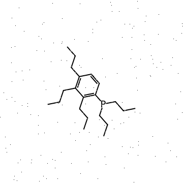 CCCc1ccc(P(CCC)CCC)c(CCC)c1CCC